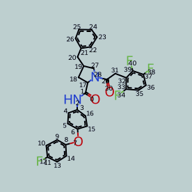 O=C(Nc1ccc(Oc2ccc(F)cc2)cc1)C1CC(Cc2ccccc2)CN1C(=O)Cc1c(F)ccc(F)c1F